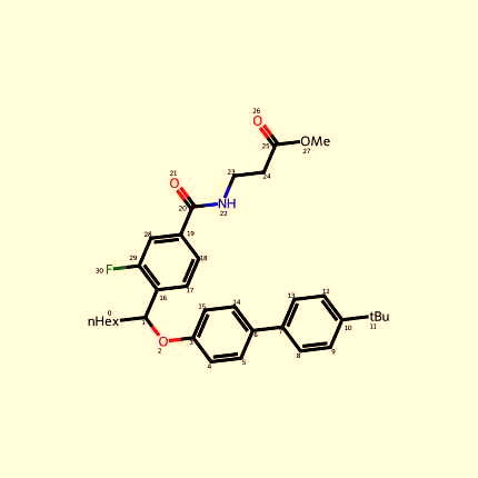 CCCCCCC(Oc1ccc(-c2ccc(C(C)(C)C)cc2)cc1)c1ccc(C(=O)NCCC(=O)OC)cc1F